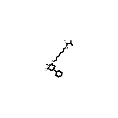 C=C(C)C(=O)OCCCCCCSc1nc(-c2ccccc2)cc(=O)n1C